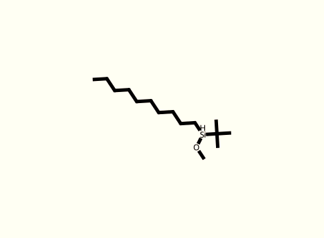 CCCCCCCCCC[SiH](OC)C(C)(C)C